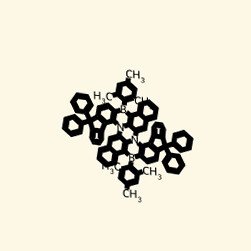 Cc1cc(C)c(B2c3ccc4c(c3N3c5cc6ccccc6c6c5N(c5cc7ccccc7c2c53)c2c(ccc3c2-c2ccccc2C3(c2ccccc2)c2ccccc2)B6c2c(C)cc(C)cc2C)-c2ccccc2C4(c2ccccc2)c2ccccc2)c(C)c1